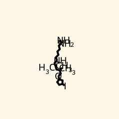 CC(COC1CCC(I)C1)CC(C)(C)CNCCCCCNN